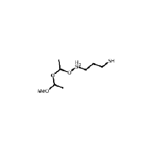 COC(C)OC(C)O[SiH2]CCCS